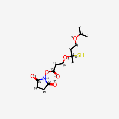 CC(C)OCCC(C)(S)OCCC(=O)ON1C(=O)CCC1=O